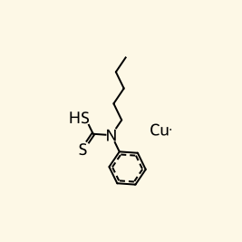 CCCCCN(C(=S)S)c1ccccc1.[Cu]